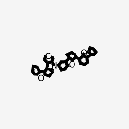 c1ccc2c(c1)oc1c(-c3cccc4c3oc3ccc(-n5c6ccccc6c6c7c(ccc65)oc5ccccc57)cc34)cccc12